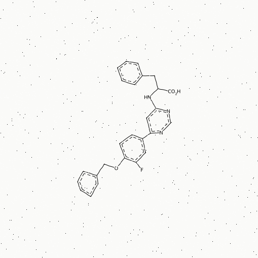 O=C(O)C(Cc1ccccc1)Nc1cc(-c2ccc(OCc3ccccc3)c(F)c2)ncn1